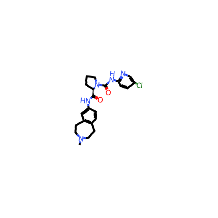 CN1CCc2ccc(NC(=O)[C@H]3CCCN3C(=O)Nc3ccc(Cl)cn3)cc2CC1